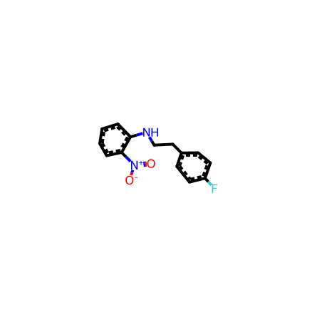 O=[N+]([O-])c1ccccc1NCCc1ccc(F)cc1